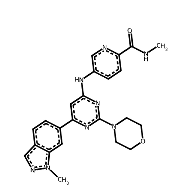 CNC(=O)c1ccc(Nc2cc(-c3ccc4cnn(C)c4c3)nc(N3CCOCC3)n2)cn1